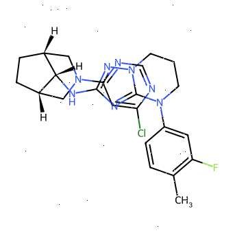 Cc1ccc(N2CCCn3nc(N[C@H]4[C@@H]5CC[C@H]4CN(c4cc(Cl)ncn4)C5)nc32)cc1F